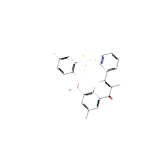 Cc1cc([C@@H](C)Oc2ccc(Cl)cc2S(N)(=O)=O)c2oc(-c3ccccc3)c(C)c(=O)c2c1